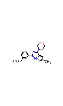 CC(=O)OCc1cccc(-c2nc(N3CCOCC3)c3cc(C)cn3n2)c1